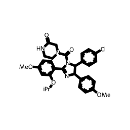 COc1ccc(C2N=C(c3ccc(OC)cc3OC(C)C)N(C(=O)N3CCNC(=O)C3)C2c2ccc(Cl)cc2)cc1